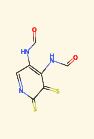 O=CNC1=C(NC=O)C(=S)C(=S)N=C1